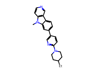 CCC1CCN(c2ccc(-c3ccc4c5cnccc5n(C)c4c3)cn2)CC1